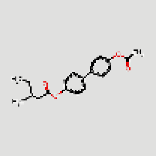 CCC(C)CC(=O)Oc1ccc(-c2ccc(OC(C)=O)cc2)cc1